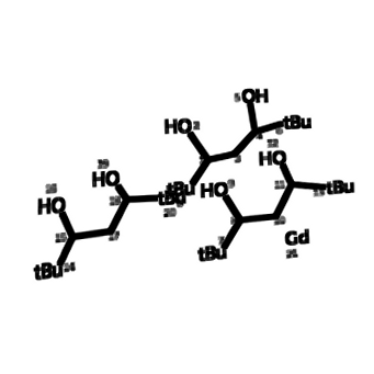 CC(C)(C)C(O)CC(O)C(C)(C)C.CC(C)(C)C(O)CC(O)C(C)(C)C.CC(C)(C)C(O)CC(O)C(C)(C)C.[Gd]